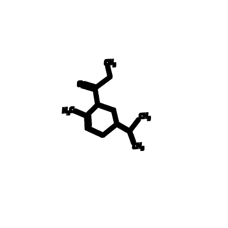 CCC(=O)C1CC(C(C)C)CC=C1C